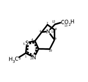 Cc1nc2c(s1)C1CCC(C2)N1CC(=O)O